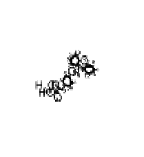 COC(Cc1ccc(OCN2c3ccccc3Oc3ccccc32)cc1)C(=O)O